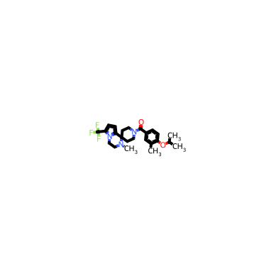 Cc1cc(C(=O)N2CCC3(CC2)c2ccc(C(F)(F)F)n2CCN3C)ccc1OC(C)C